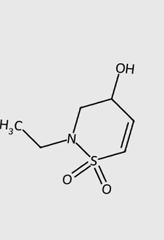 CCN1CC(O)C=CS1(=O)=O